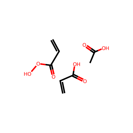 C=CC(=O)O.C=CC(=O)OO.CC(=O)O